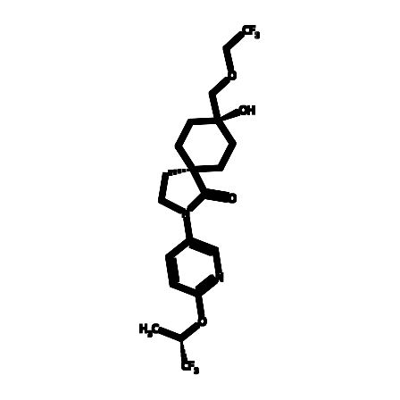 C[C@H](Oc1ccc(N2CC[C@]3(CC[C@@](O)(COCC(F)(F)F)CC3)C2=O)cn1)C(F)(F)F